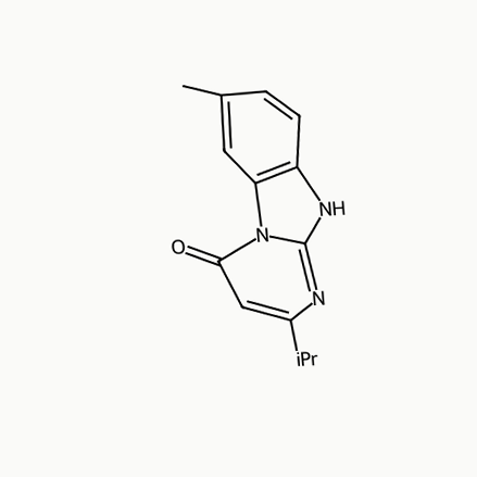 Cc1ccc2[nH]c3nc(C(C)C)cc(=O)n3c2c1